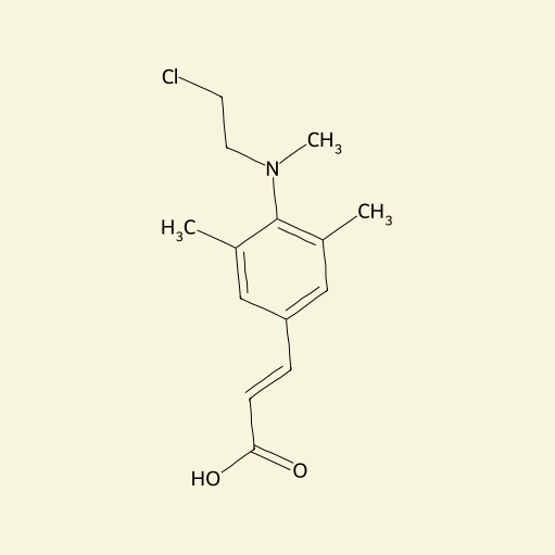 Cc1cc(C=CC(=O)O)cc(C)c1N(C)CCCl